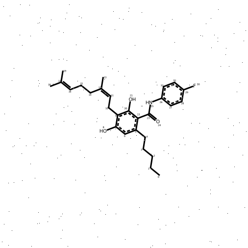 CCCCCc1cc(O)c(CC=C(C)CCC=C(C)C)c(O)c1C(=O)Nc1ccc(F)cc1